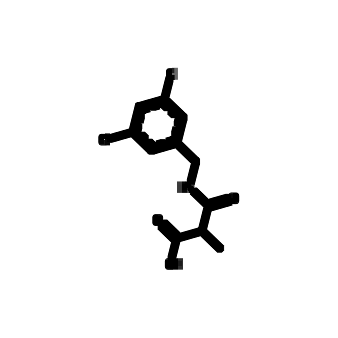 CC(C(=O)O)C(=O)NCc1cc(Cl)cc(Cl)c1